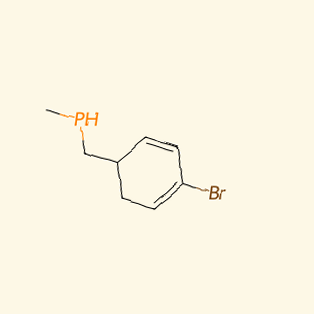 CPCC1C=CC(Br)=CC1